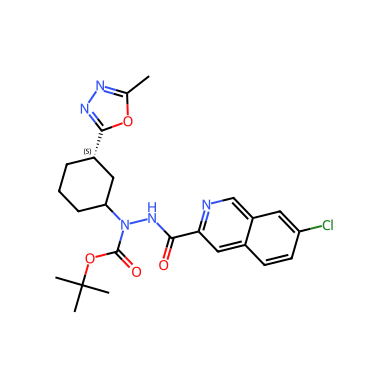 Cc1nnc([C@H]2CCCC(N(NC(=O)c3cc4ccc(Cl)cc4cn3)C(=O)OC(C)(C)C)C2)o1